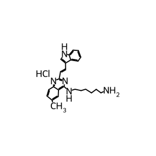 Cc1ccc2nc(/C=C/c3c[nH]c4ccccc34)nc(NCCCCCCN)c2c1.Cl